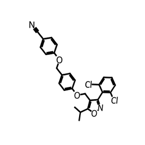 CC(C)c1onc(-c2c(Cl)cccc2Cl)c1COc1ccc(COc2ccc(C#N)cc2)cc1